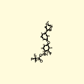 Cn1cc(-c2cccc(Oc3ccc(NOC(=O)C(F)(F)F)c(F)c3)c2)nn1